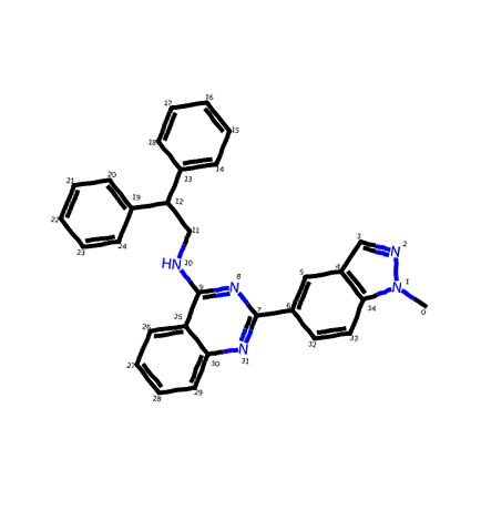 Cn1ncc2cc(-c3nc(NCC(c4ccccc4)c4ccccc4)c4ccccc4n3)ccc21